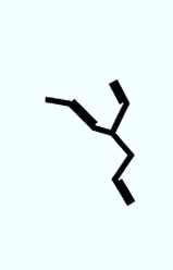 C=CCC(C=C)C=CC